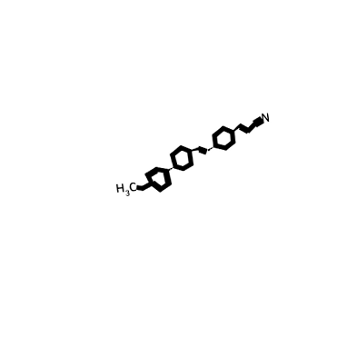 CCc1ccc([C@H]2CC[C@H](C=C[C@H]3CC[C@H](C=CC#N)CC3)CC2)cc1